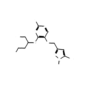 CCCC(CO)Nc1nc(N)ncc1OCc1cc(C)n(C)n1